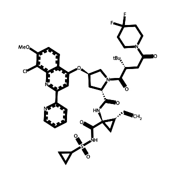 C=C[C@@H]1C[C@]1(NC(=O)[C@@H]1C[C@@H](Oc2cc(-c3ccccn3)nc3c(Cl)c(OC)ccc23)CN1C(=O)[C@@H](CC(=O)N1CCC(F)(F)CC1)C(C)(C)C)C(=O)NS(=O)(=O)C1CC1